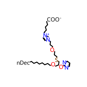 CCCCCCCCCCCCCCCCCCOCC(CSCCCOCCCN1C=C[N+](=CCCCCC(=O)[O-])C1)Oc1ncccn1